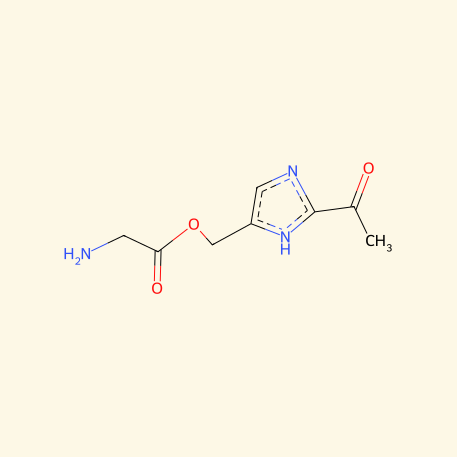 CC(=O)c1ncc(COC(=O)CN)[nH]1